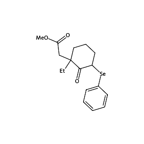 CCC1(CC(=O)OC)CCCC([Se]c2ccccc2)C1=O